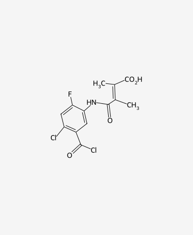 CC(C(=O)O)=C(C)C(=O)Nc1cc(C(=O)Cl)c(Cl)cc1F